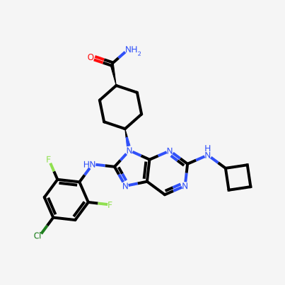 NC(=O)[C@H]1CC[C@@H](n2c(Nc3c(F)cc(Cl)cc3F)nc3cnc(NC4CCC4)nc32)CC1